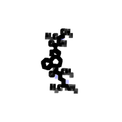 C/C=C(\C)NC(=O)c1cc2c(s1)-c1ccccc1N(C(=O)/C(C)=C/C=C(\C)N)CC2